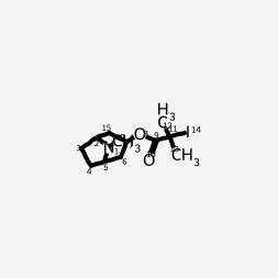 CN1C2CCC1CC(OC(=O)C(C)(C)I)C2